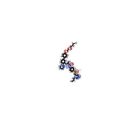 CCCCOCCOc1ccc(-c2ccc(N3CCCC3)c(/C=C(\C)C(=O)Nc3ccc([S+]([O-])Cc4cncn4CCC)cc3)c2)cc1